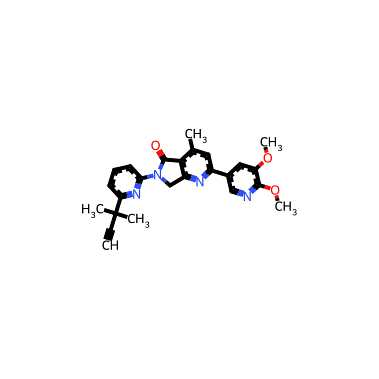 C#CC(C)(C)c1cccc(N2Cc3nc(-c4cnc(OC)c(OC)c4)cc(C)c3C2=O)n1